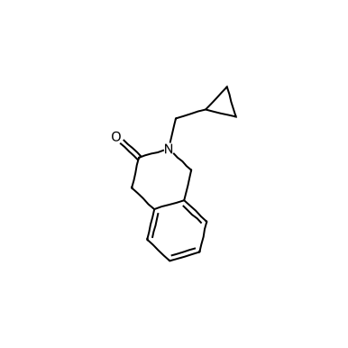 O=C1Cc2ccccc2CN1CC1CC1